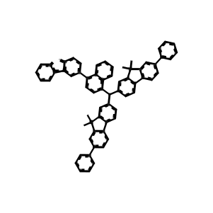 CC1(C)c2cc(-c3ccccc3)ccc2-c2ccc(C(c3ccc4c(c3)C(C)(C)c3cc(-c5ccccc5)ccc3-4)c3ccc(-c4ccc5oc6ccccc6c5c4)c4ccccc34)cc21